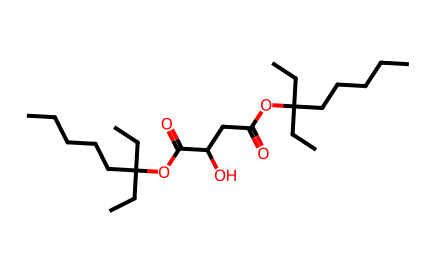 CCCCCC(CC)(CC)OC(=O)CC(O)C(=O)OC(CC)(CC)CCCCC